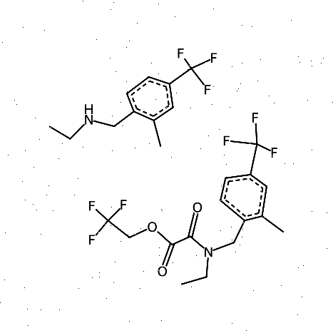 CCN(Cc1ccc(C(F)(F)F)cc1C)C(=O)C(=O)OCC(F)(F)F.CCNCc1ccc(C(F)(F)F)cc1C